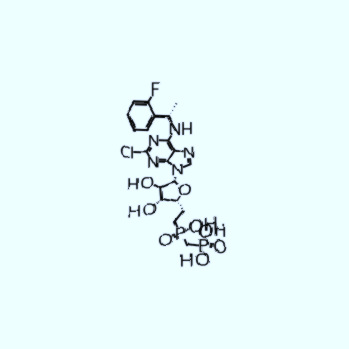 C[C@H](Nc1nc(Cl)nc2c1ncn2[C@@H]1O[C@H](CCP(=O)(O)CP(=O)(O)O)[C@H](O)C1O)c1ccccc1F